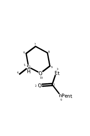 CCCCCC(=O)CC.C[SiH]1CCCCO1